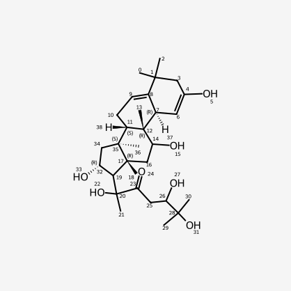 CC1(C)CC(O)=C[C@@H]2C1=CC[C@@H]1[C@@]2(C)C(O)C[C@]2(C)C(C(C)(O)C(=O)CC(O)C(C)(C)O)[C@H](O)C[C@@]12C